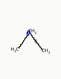 CCCCCCCCCCCCCCCCCC1N(C)C=CN1CCCCCCCCCCCCCC